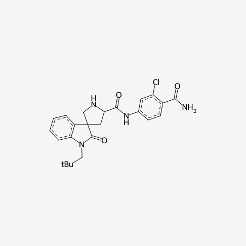 CC(C)(C)CN1C(=O)C2(CNC(C(=O)Nc3ccc(C(N)=O)c(Cl)c3)C2)c2ccccc21